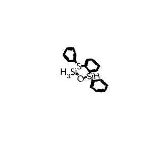 [SiH3]O[SiH](c1ccccc1)c1ccccc1Sc1ccccc1